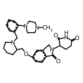 CN1CCN(c2ccccc2CN2CCCCC2COc2ccc3c(c2)CN(C2CCC(=O)NC2=O)C3=O)CC1